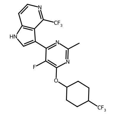 Cc1nc(OC2CCC(C(F)(F)F)CC2)c(F)c(-c2c[nH]c3ccnc(C(F)(F)F)c23)n1